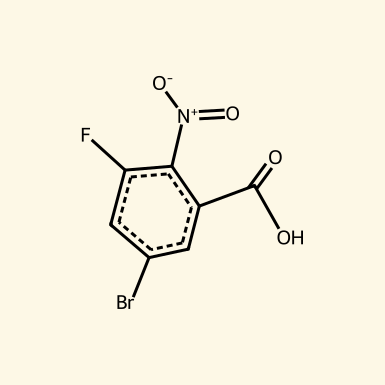 O=C(O)c1cc(Br)cc(F)c1[N+](=O)[O-]